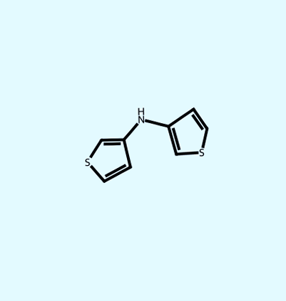 c1cc(Nc2ccsc2)cs1